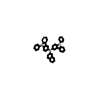 C1=Cc2c(n(-c3ccccc3)c3ccc(N(c4ccc5ccccc5c4)c4ccc5c(c4)c4ccccc4n5-c4ccccc4)cc23)CC1